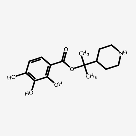 CC(C)(OC(=O)c1ccc(O)c(O)c1O)C1CCNCC1